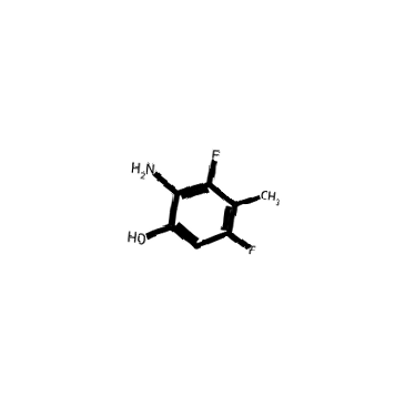 Cc1c(F)cc(O)c(N)c1F